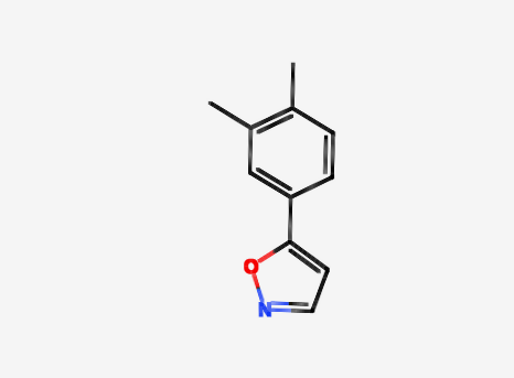 Cc1ccc(-c2ccno2)cc1C